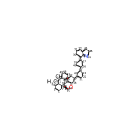 CC1(C)c2ccccc2C2(c3ccccc3Oc3cc(-c4cccc(-c5ccc(-c6cccc7cccnc67)cc5)c4)ccc32)c2ccccc21